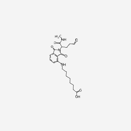 CNC(=O)C(CCC=O)N1C(=O)c2cccc(NCCCCCCCC(=O)O)c2C1=O